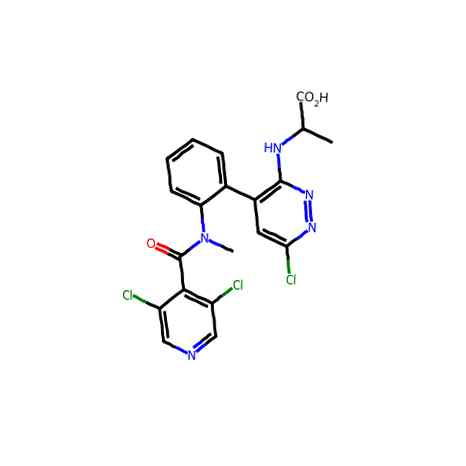 CC(Nc1nnc(Cl)cc1-c1ccccc1N(C)C(=O)c1c(Cl)cncc1Cl)C(=O)O